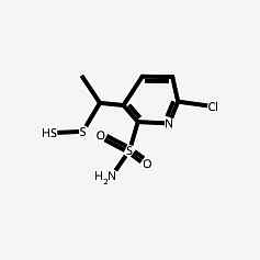 CC(SS)c1ccc(Cl)nc1S(N)(=O)=O